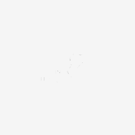 O=C(O)Nc1csc2cc(O)ccc12